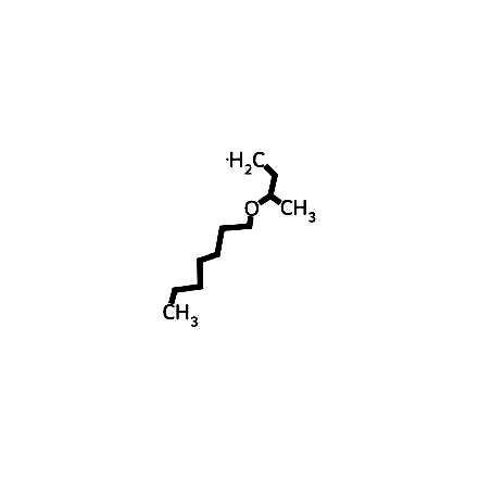 [CH2]CC(C)OCCCCCCC